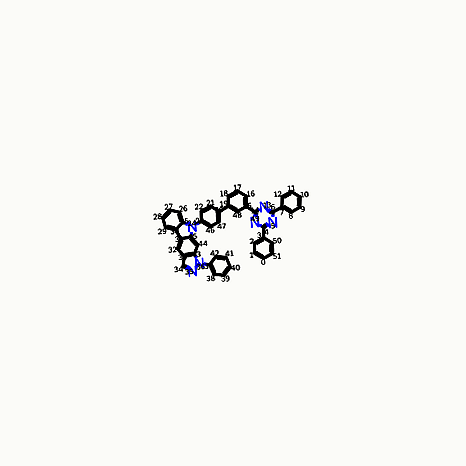 c1ccc(-c2nc(-c3ccccc3)nc(-c3cccc(-c4ccc(-n5c6ccccc6c6cc7cnn(-c8ccccc8)c7cc65)cc4)c3)n2)cc1